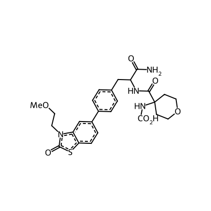 COCCn1c(=O)sc2ccc(-c3ccc(CC(NC(=O)C4(NC(=O)O)CCOCC4)C(N)=O)cc3)cc21